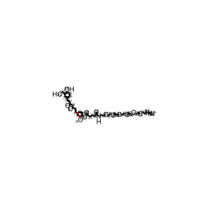 COc1cc(/C=C/C(=O)CC(=O)/C=C/c2ccc(O)c(CO)c2)ccc1OC(=O)CCCC(=O)NCCOCCOCCOCCOCCOCCOCCN=[N+]=[N-]